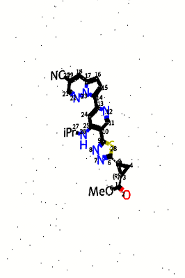 COC(=O)[C@@H]1C[C@H]1c1nnc(-c2cnc(-c3ccc4cc(C#N)cnn34)cc2NC(C)C)s1